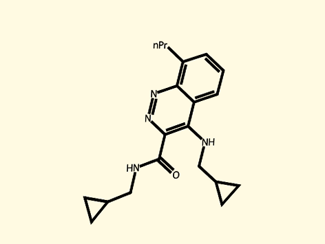 CCCc1cccc2c(NCC3CC3)c(C(=O)NCC3CC3)nnc12